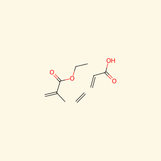 C=C.C=C(C)C(=O)OCC.C=CC(=O)O